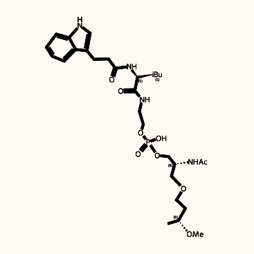 CC[C@H](C)[C@H](NC(=O)CCc1c[nH]c2ccccc12)C(=O)NCCOP(=O)(O)OC[C@@H](COCC[C@@H](C)OC)NC(C)=O